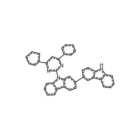 c1ccc(-c2cc(-c3ccccc3)nc(-n3c4ccccc4c4ccc(-c5ccc6[nH]c7ccccc7c6c5)cc43)n2)cc1